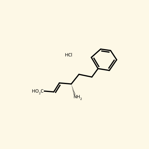 Cl.N[C@H](/C=C/C(=O)O)CCc1ccccc1